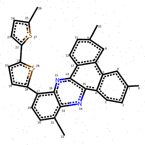 Cc1ccc2c(c1)c1cc(C)ccc1c1nc3c(-c4ccc(-c5ccc(C)s5)s4)ccc(C)c3nc21